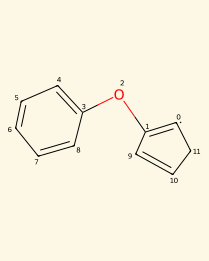 [C]1=C(Oc2ccccc2)C=CC1